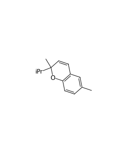 Cc1ccc2c(c1)C=CC(C)(C(C)C)O2